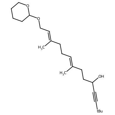 C/C(=C\COC1CCCCO1)CC/C=C(\C)CCC(O)C#CC(C)(C)C